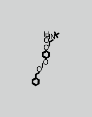 CC(C)(C)NCC(O)COc1ccc(OCCOCCc2ccccc2)cc1